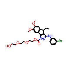 CCC1c2cc(OC)c(OC)cc2-c2c1c(Nc1cccc(Br)c1)nn2C(=O)OCCOCCOCCO